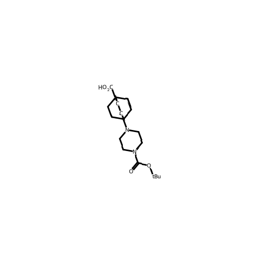 CC(C)(C)OC(=O)N1CCN(C23CCC(C(=O)O)(CC2)CC3)CC1